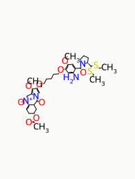 CCSC(SCC)[C@@H]1CCCN1C(=O)c1cc(OC)c(OCCCCCOc2cn3c(c2OC)C=[N+]([O-])C2=CCC(OC(C)=O)CC2C3=O)cc1N